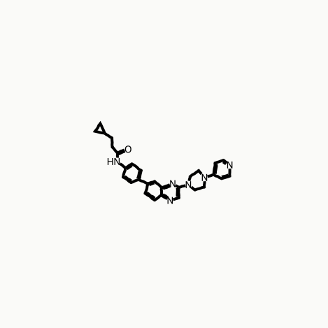 O=C(CCC1CC1)Nc1ccc(-c2ccc3ncc(N4CCN(c5ccncc5)CC4)nc3c2)cc1